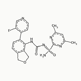 Cc1cc(C)nc(S(N)(=O)=NC(=O)Nc2c(-c3ccncc3F)ccc3c2COC3)n1